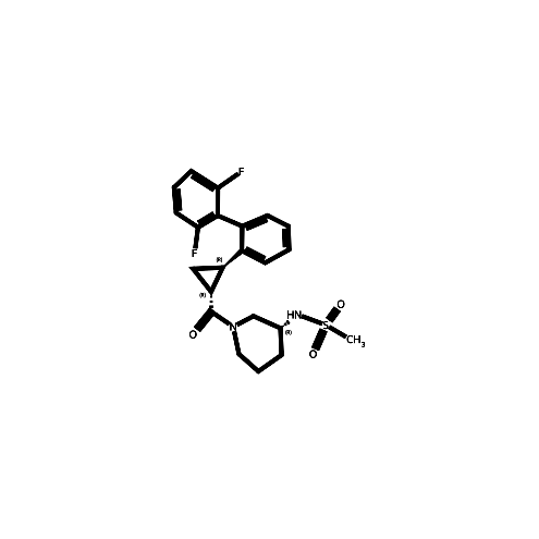 CS(=O)(=O)N[C@@H]1CCCN(C(=O)[C@@H]2C[C@H]2c2ccccc2-c2c(F)cccc2F)C1